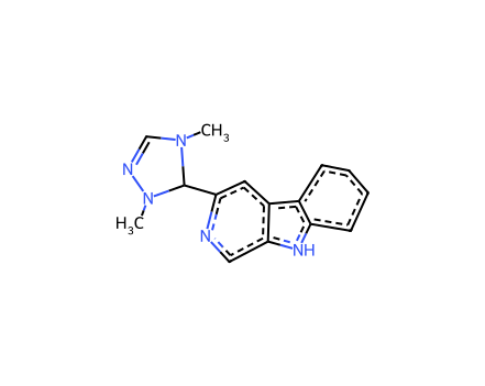 CN1C=NN(C)C1c1cc2c(cn1)[nH]c1ccccc12